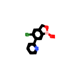 OB1OCc2cc(Cl)c(-c3ccccn3)cc21